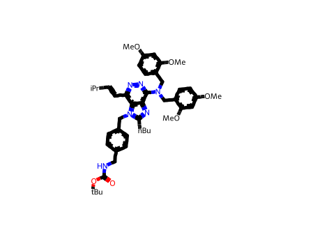 CCCCc1nc2c(N(Cc3ccc(OC)cc3OC)Cc3ccc(OC)cc3OC)nnc(/C=C/C(C)C)c2n1Cc1ccc(CNC(=O)OC(C)(C)C)cc1